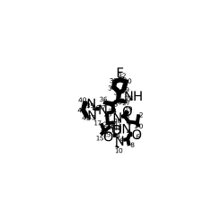 CC(C)C(NC(=O)C(C)N(C)C(=O)OC(C)(C)C)C(=O)N1CCC2C1C(c1c[nH]c3cc(F)ccc13)=CN2c1ncccn1